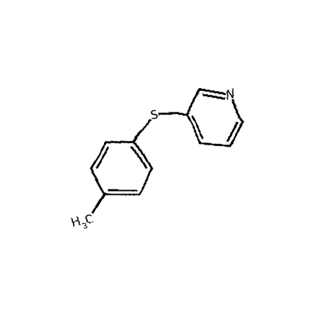 Cc1ccc(Sc2cccnc2)cc1